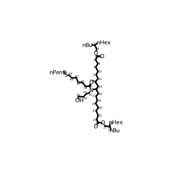 CCCCCCC(CCCC)COC(=O)CCCCCCCCC(CCCCCCCCC(=O)OCC(CCCC)CCCCCC)N(CCCCO)C(=O)CCCCCCSCCCCC